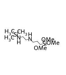 CO[Si](CCCNCCN[Si](C)(C)C)(OC)OC